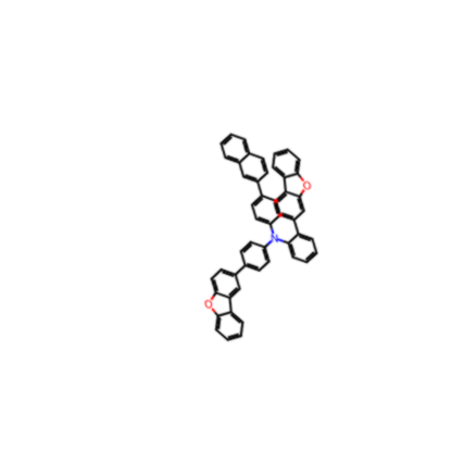 c1ccc(N(c2ccc(-c3ccc4ccccc4c3)cc2)c2ccc(-c3ccc4oc5ccccc5c4c3)cc2)c(-c2ccc3c(c2)oc2ccccc23)c1